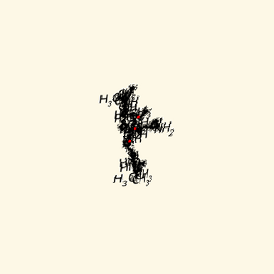 CC(C)(C)c1cc(NC(=O)Nc2ncc(CCc3ccnc(NC(=O)C(O)C(C(=O)Nc4cc(CCc5cnc(NC(=O)Nc6cc(C(C)(C)C)nn6CC6CC6)s5)ccn4)N(C(=O)Nc4cc(C(C)(C)C)nn4CC4CC4)c4ncc(CCc5ccnc(N)c5)s4)c3)s2)n(CC2CC2)n1